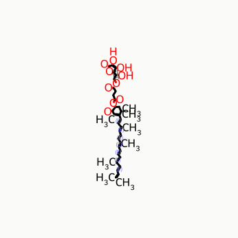 CC(C)=C/C=C/C(C)=C/C=C/C=C(C)/C=C/C=C(C)/C=C/C1=C(C)C(=O)C(OC(=O)CCC(=O)OC[C@H](O)[C@H]2OC(=O)C(O)=C2O)CC1(C)C